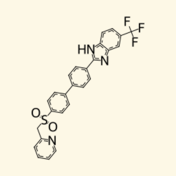 O=S(=O)(Cc1ccccn1)c1ccc(-c2ccc(-c3nc4cc(C(F)(F)F)ccc4[nH]3)cc2)cc1